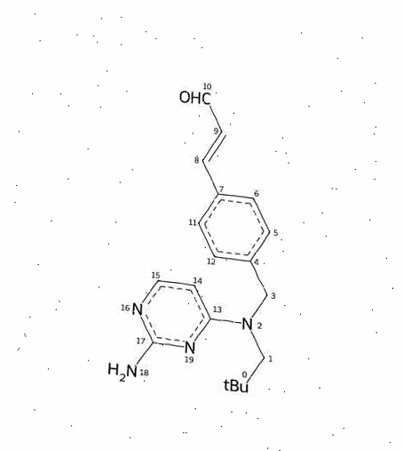 CC(C)(C)CN(Cc1ccc(/C=C/C=O)cc1)c1ccnc(N)n1